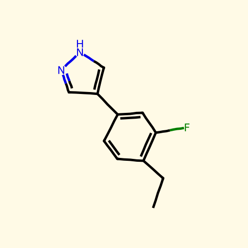 CCc1ccc(-c2cn[nH]c2)cc1F